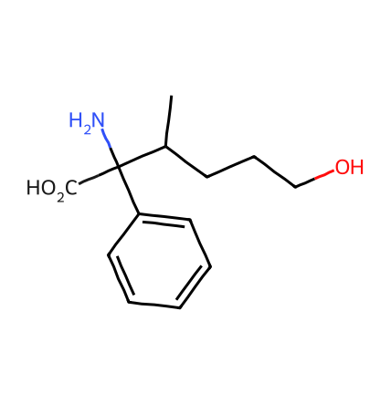 CC(CCCO)C(N)(C(=O)O)c1ccccc1